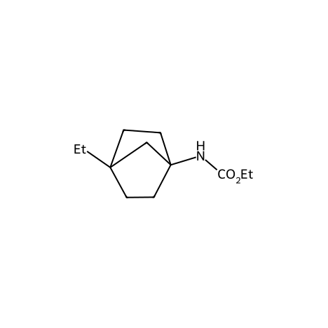 CCOC(=O)NC12CCC(CC)(CC1)C2